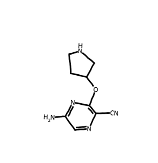 N#Cc1ncc(N)nc1OC1CCNC1